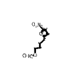 O=[C]OCCCCc1ccc([N+](=O)[O-])o1